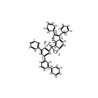 FC(F)(F)C(c1cc(-c2ccccc2)cc(-c2cccc(-c3ccccc3)c2)c1)(c1cccc2c(-c3ccccc3)c(-c3ccccc3)sc12)C(F)(F)F